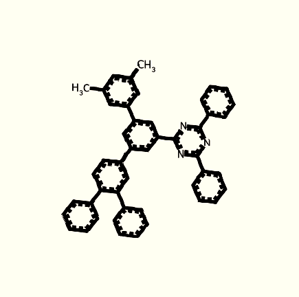 Cc1cc(C)cc(-c2cc(-c3ccc(-c4ccccc4)c(-c4ccccc4)c3)cc(-c3nc(-c4ccccc4)nc(-c4ccccc4)n3)c2)c1